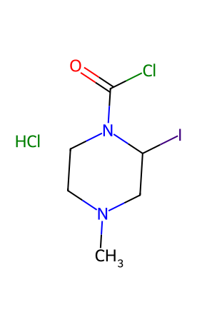 CN1CCN(C(=O)Cl)C(I)C1.Cl